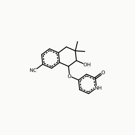 CC1(C)Cc2ccc(C#N)cc2C(Oc2cc[nH]c(=O)c2)C1O